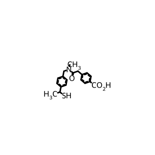 CC(S)c1ccc(CN(C)C(=O)Cc2ccc(C(=O)O)cc2)cc1